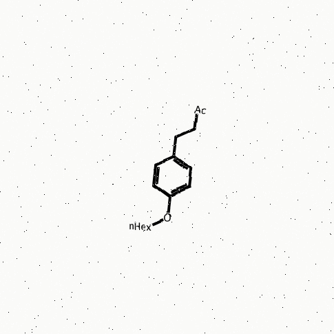 CCCCCCOc1ccc(CCC(C)=O)cc1